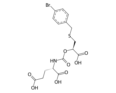 O=C(O)CC[C@H](NC(=O)O[C@@H](CSCc1ccc(Br)cc1)C(=O)O)C(=O)O